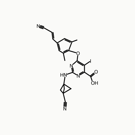 Cc1cc(/C=C/C#N)cc(C)c1Oc1nc(NC23CC(C#N)(C2)C3)nc(C(=O)O)c1I